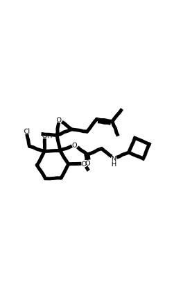 COC1CCCC(O)(CCl)C1(OC(=O)CNC1CCC1)C1(C)OC1CC=C(C)C